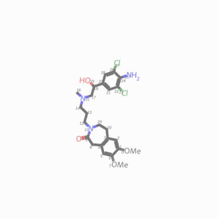 COc1cc2c(cc1OC)CC(=O)N(CCCN(C)CC(O)c1cc(Cl)c(N)c(Cl)c1)CC2